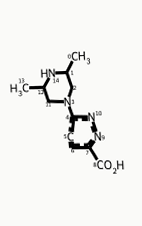 CC1CN(c2ccc(C(=O)O)nn2)CC(C)N1